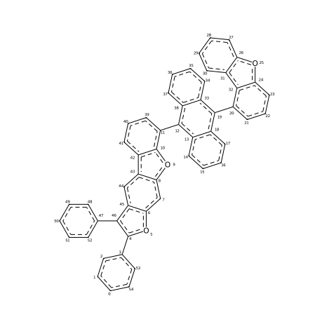 c1ccc(-c2oc3cc4oc5c(-c6c7ccccc7c(-c7cccc8oc9ccccc9c78)c7ccccc67)cccc5c4cc3c2-c2ccccc2)cc1